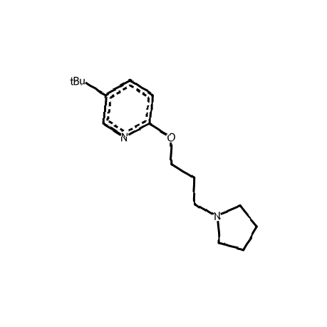 CC(C)(C)c1ccc(OCCCN2CCCC2)nc1